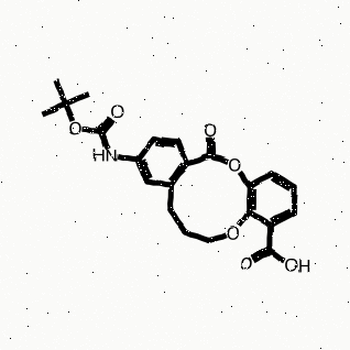 CC(C)(C)OC(=O)Nc1ccc2c(c1)CCCOc1c(cccc1C(=O)O)OC2=O